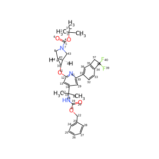 CC(C)(C)OC(=O)N1C[C@@H]2C(Oc3cc(C(C)(C)NC(=O)OCc4ccccc4)cc(-c4ccc5c(c4)CC5(F)F)n3)[C@@H]2C1